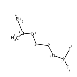 BB(C)OCCOP(F)F